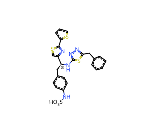 O=S(=O)(O)Nc1ccc(C[C@H](Nc2nnc(Cc3ccccc3)s2)c2csc(-c3cccs3)n2)cc1